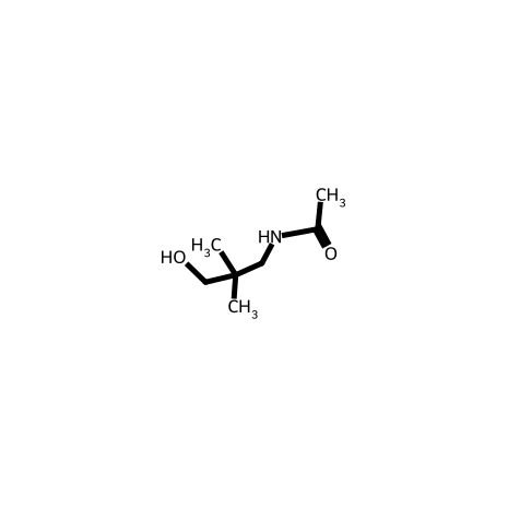 CC(=O)NCC(C)(C)CO